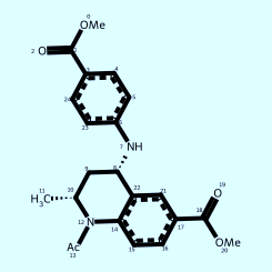 COC(=O)c1ccc(N[C@H]2C[C@@H](C)N(C(C)=O)c3ccc(C(=O)OC)cc32)cc1